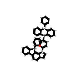 c1ccc(N2c3ccccc3N(c3ccc(-n4ccc5ccc6c7ccccc7n(-c7ccccc7)c6c54)cc3)c3ccccc32)cc1